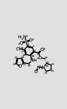 NS(=O)(=O)c1cc(C(=O)OC[C@@H]2CCCN2N=O)c(NCc2ccco2)cc1Cl